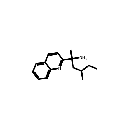 CCC(C)CC(C)(N)c1ccc2ccccc2n1